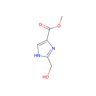 COC(=O)c1c[nH]c(CO)n1